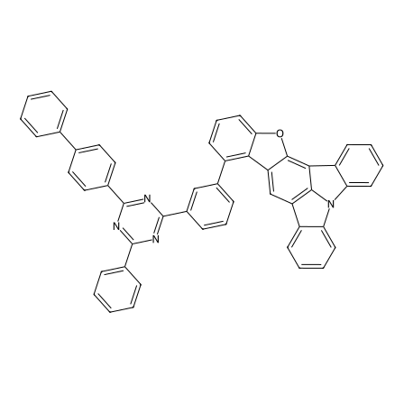 c1ccc(-c2ccc(-c3nc(-c4ccccc4)nc(-c4cccc(-c5cccc6oc7c(cc8c9ccccc9n9c%10ccccc%10c7c89)c56)c4)n3)cc2)cc1